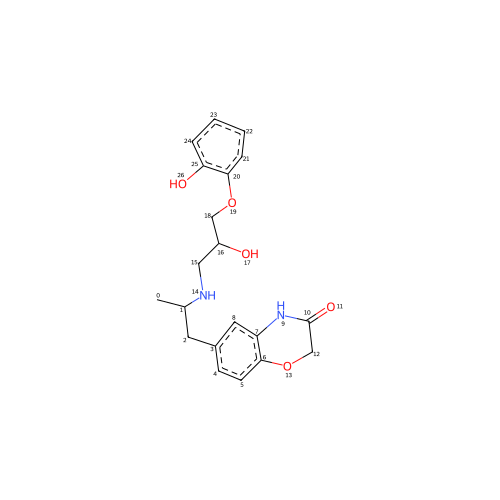 CC(Cc1ccc2c(c1)NC(=O)CO2)NCC(O)COc1ccccc1O